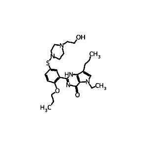 CCCOc1ccc(SN2CCN(CCO)CC2)cc1-c1nc(=O)c2c([nH]1)c(CCC)cn2CC